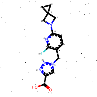 O=C(O)c1cn(Cc2ccc(N3CC4(CC4)C3)nc2F)nn1